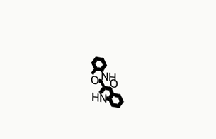 Cc1ccccc1NC(=O)c1c[nH]c2ccccc2c1=O